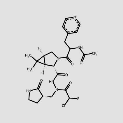 CC1(C)[C@@H]2[C@@H](C(=O)NN(C[C@@H]3CCNC3=O)C(=O)C(F)Cl)N(C(=O)C(Cc3ccncc3)NC(=O)C(F)(F)F)C[C@@H]21